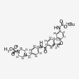 CC(C)(C)OC(=O)Nc1ccc(OC(F)(F)F)c(-c2ccc(C(=O)Nc3ccc(CN4CCN(S(C)(=O)=O)CC4)cc3)cc2)c1